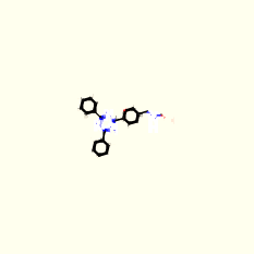 OCNCc1ccc(-c2nc(-c3ccccc3)nc(-c3ccccc3)n2)c(O)c1